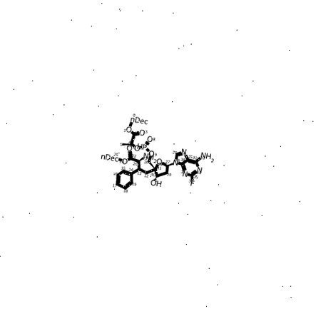 CCCCCCCCCCOC(=O)[C@H](C)O[PH](=O)OC[C@@]1(CC(c2ccccc2)[C@H](N)C(=O)OCCCCCCCCCC)O[C@@H](n2cnc3c(N)nc(F)nc32)C[C@@H]1O